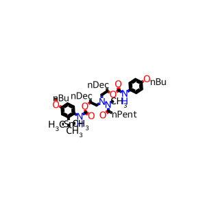 CCCCCCCCCCC(CN(CC(CCCCCCCCCC)OC(=O)Nc1ccc(OCCCC)c[c]1[Sn]([CH3])([CH3])[CH3])N(C)C(=O)CCCCC)OC(=O)Nc1ccc(OCCCC)cc1